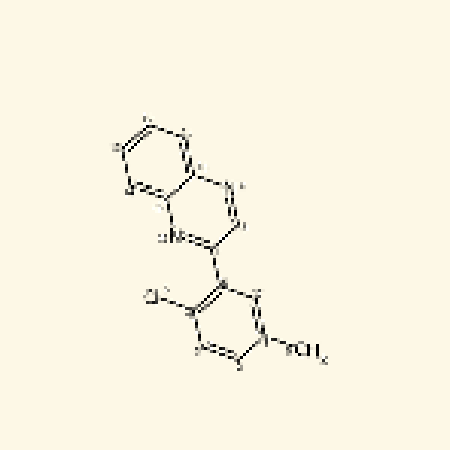 Cc1ccc(Cl)c(-c2cnc3ccccc3n2)c1